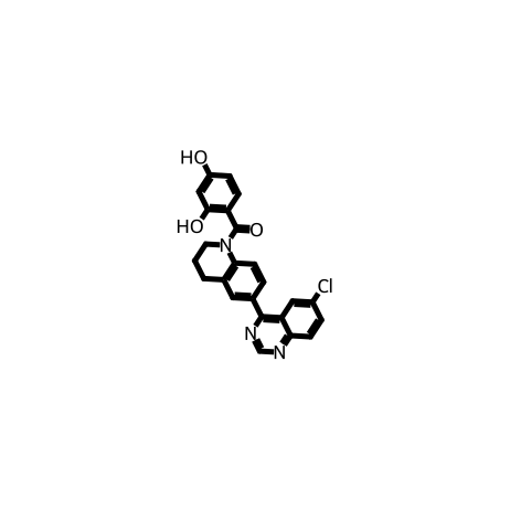 O=C(c1ccc(O)cc1O)N1CCCc2cc(-c3ncnc4ccc(Cl)cc34)ccc21